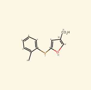 Cc1ccccc1Sc1cc(C(=O)O)co1